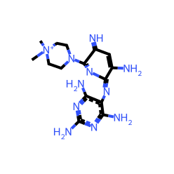 C[N+]1(C)CCN(C2=N/C(=N\c3c(N)nc(N)nc3N)C(N)=CC2=N)CC1